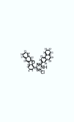 ClC1=NC(c2cccc3c2oc2cc4ccccc4cc23)=NC(c2ccc3c(ccc4ccccc43)c2)N1